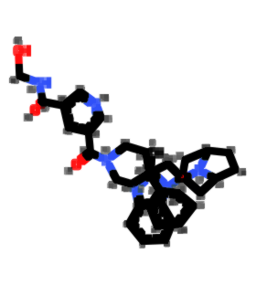 Cc1nc2ccccc2n1C1CC2CCC(C1)N2CCC1(c2ccccc2)CCN(C(=O)c2cncc(C(=O)NCO)c2)CC1